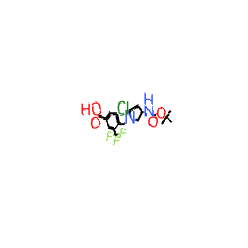 CC(C)(C)OC(=O)NC1CCN(Cc2c(Cl)cc(C(=O)O)cc2C(F)(F)F)C1